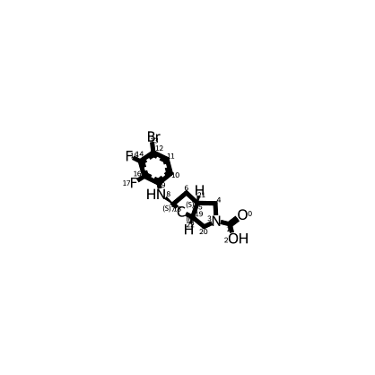 O=C(O)N1C[C@H]2C[C@H](Nc3ccc(Br)c(F)c3F)C[C@H]2C1